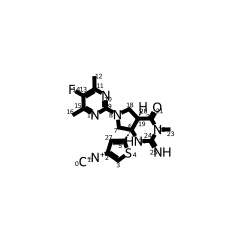 [C-]#[N+]c1csc([C@]23CN(c4nc(C)c(F)c(C)n4)C[C@H]2C(=O)N(C)C(=N)N3)c1